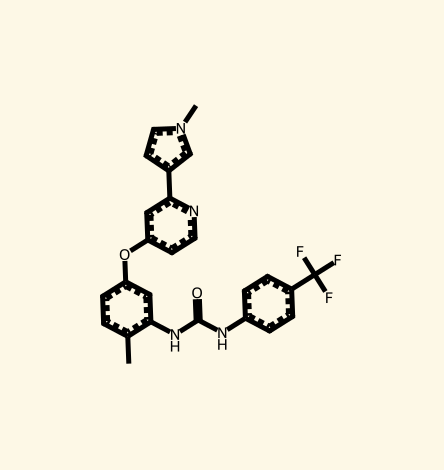 Cc1ccc(Oc2ccnc(-c3ccn(C)c3)c2)cc1NC(=O)Nc1ccc(C(F)(F)F)cc1